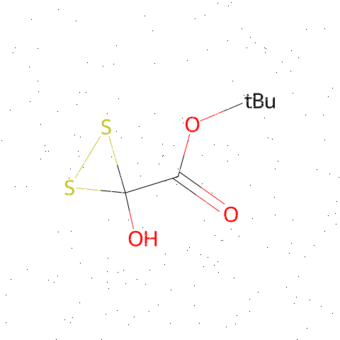 CC(C)(C)OC(=O)C1(O)SS1